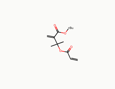 C=CC(=O)OC(C)(C)C(=C)C(=O)OCCCC